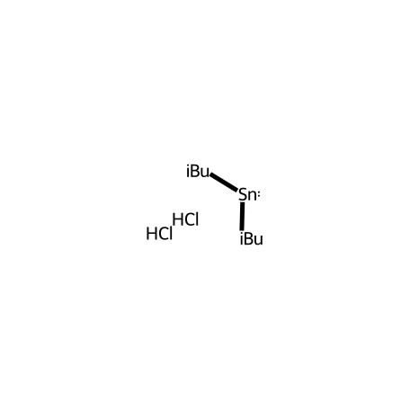 CC[CH](C)[Sn][CH](C)CC.Cl.Cl